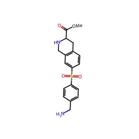 COC(=O)C1Cc2ccc(S(=O)(=O)c3ccc(CN)cc3)cc2CN1